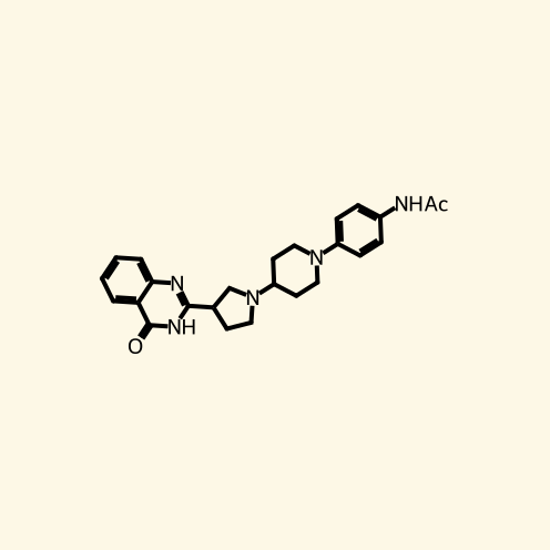 CC(=O)Nc1ccc(N2CCC(N3CCC(c4nc5ccccc5c(=O)[nH]4)C3)CC2)cc1